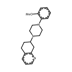 COc1ccccc1N1CCN(C2CCc3cccnc3C2)CC1